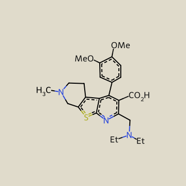 CCN(CC)Cc1nc2sc3c(c2c(-c2ccc(OC)c(OC)c2)c1C(=O)O)CCN(C)C3